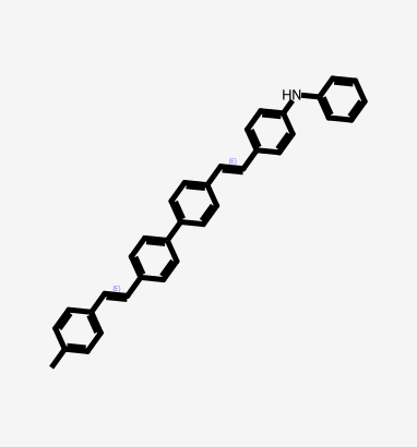 Cc1ccc(/C=C/c2ccc(-c3ccc(/C=C/c4ccc(Nc5ccccc5)cc4)cc3)cc2)cc1